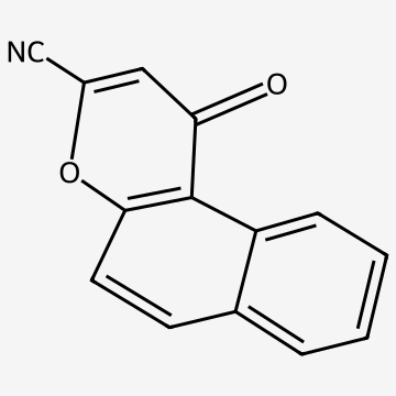 N#Cc1cc(=O)c2c(ccc3ccccc32)o1